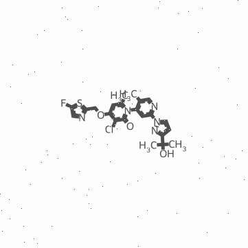 Cc1cnc(-n2ccc(C(C)(C)O)n2)cc1-n1c(C)cc(OCc2ncc(F)s2)c(Cl)c1=O